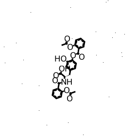 CC(=O)Oc1ccccc1C(=O)N[C@@H](Cc1ccc(OC(=O)c2ccccc2OC(C)=O)c(O)c1)C(=O)O